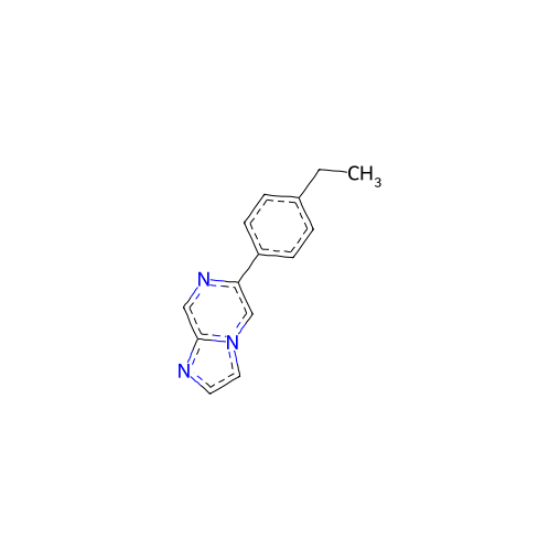 CCc1ccc(-c2cn3ccnc3cn2)cc1